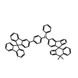 CC1(C)c2ccccc2C2(c3ccccc3-c3cc(N(c4ccccc4)c4ccc(-c5ccc6c(c5)-c5ccccc5C65c6ccccc6-c6ccccc65)cc4)ccc32)c2ccccc21